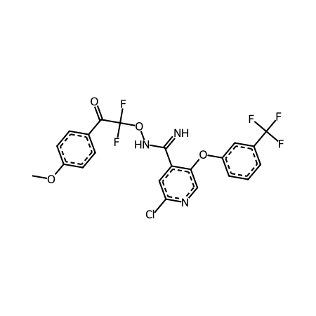 COc1ccc(C(=O)C(F)(F)ONC(=N)c2cc(Cl)ncc2Oc2cccc(C(F)(F)F)c2)cc1